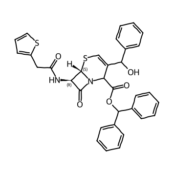 O=C(Cc1cccs1)N[C@@H]1C(=O)N2C(C(=O)OC(c3ccccc3)c3ccccc3)C(C(O)c3ccccc3)=CS[C@@H]12